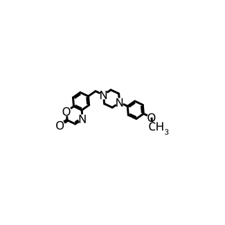 COc1ccc(N2CCN(Cc3ccc4oc(=O)cnc4c3)CC2)cc1